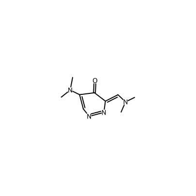 CN(C)C=C1N=NC=C(N(C)C)C1=O